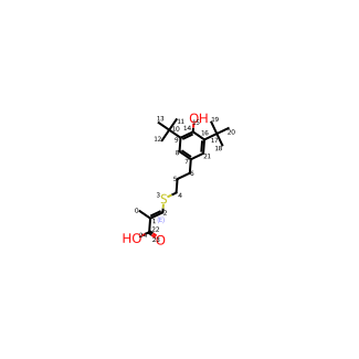 C/C(=C\SCCCc1cc(C(C)(C)C)c(O)c(C(C)(C)C)c1)C(=O)O